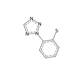 [S]c1ccccc1-n1ncnn1